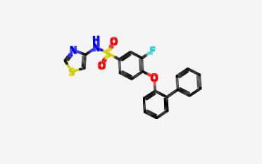 O=S(=O)(Nc1cscn1)c1ccc(Oc2ccccc2-c2ccccc2)c(F)c1